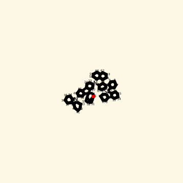 c1ccc([Si](c2ccccc2)(c2ccccc2)c2ccc(N(c3ccc4c(c3)C3(c5cc(-n6c7ccccc7c7ccccc76)ccc5-4)C4CC5CC(C4)CC3C5)c3cccc4ccccc34)cc2)cc1